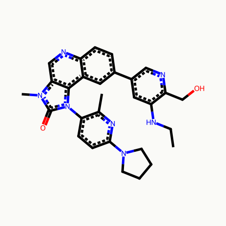 CCNc1cc(-c2ccc3ncc4c(c3c2)n(-c2ccc(N3CCCC3)nc2C)c(=O)n4C)cnc1CO